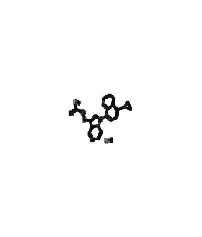 CC(C)C(=O)OSc1cn(-c2ccc(C3CC3)c3ccccc23)c2ccncc12.[LiH]